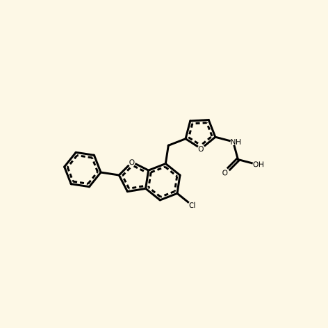 O=C(O)Nc1ccc(Cc2cc(Cl)cc3cc(-c4ccccc4)oc23)o1